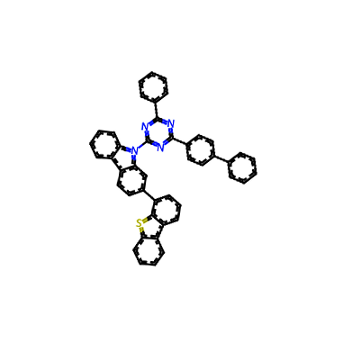 c1ccc(-c2ccc(-c3nc(-c4ccccc4)nc(-n4c5ccccc5c5ccc(-c6cccc7c6sc6ccccc67)cc54)n3)cc2)cc1